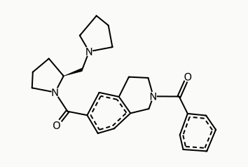 O=C(c1ccccc1)N1CCc2cc(C(=O)N3CCC[C@H]3CN3CCCC3)ccc2C1